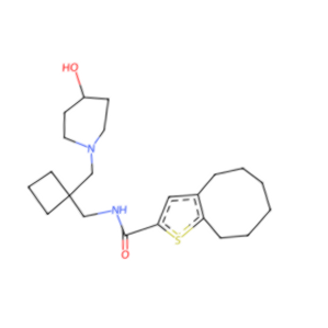 O=C(NCC1(CN2CCC(O)CC2)CCC1)c1cc2c(s1)CCCCCC2